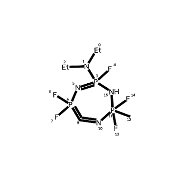 CCN(CC)P1(F)=NP(F)(F)=C=NP(C)(F)(F)N1